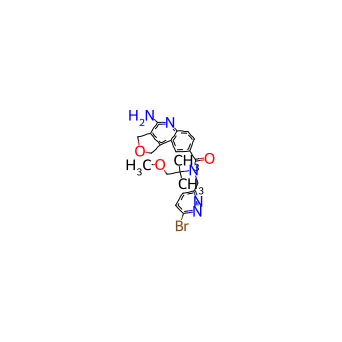 COCC(C)(C)N(Cc1ccc(Br)nn1)C(=O)c1ccc2nc(N)c3c(c2c1)COC3